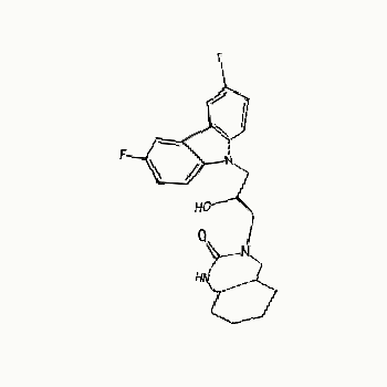 O=C1NC2CCCCC2CN1CC(O)Cn1c2ccc(F)cc2c2cc(F)ccc21